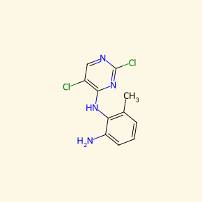 Cc1cccc(N)c1Nc1nc(Cl)ncc1Cl